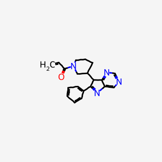 C=CC(=O)N1CCCC(C2C(c3ccccc3)=Nc3cncnc32)C1